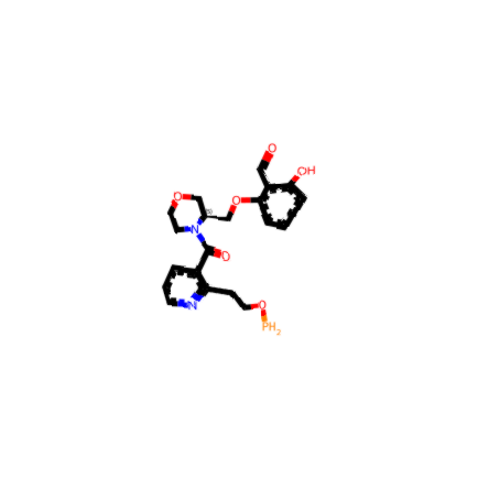 O=Cc1c(O)cccc1OC[C@@H]1COCCN1C(=O)c1cccnc1CCOP